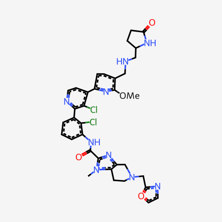 COc1nc(-c2ccnc(-c3cccc(NC(=O)c4nc5c(n4C)CCN(Cc4ncco4)C5)c3Cl)c2Cl)ccc1CNCC1CCC(=O)N1